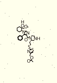 COC[C@]1(O)CCCC[C@H]1n1cnc(C(=O)N2CCNC[C@H]2CCSc2nc(COC(C)=O)cs2)c1-c1ccccc1